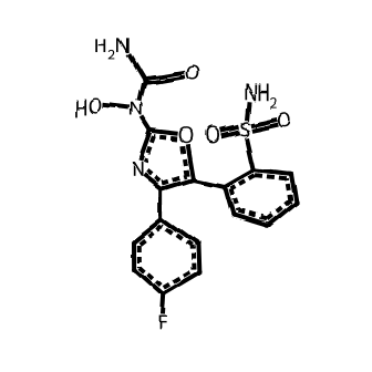 NC(=O)N(O)c1nc(-c2ccc(F)cc2)c(-c2ccccc2S(N)(=O)=O)o1